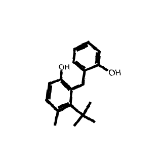 Cc1ccc(O)c(Cc2ccccc2O)c1C(C)(C)C